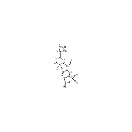 CCN(c1ccc(C#N)c(C(F)(F)F)c1)C1C=C(c2cn[nH]n2)CCC1(C)C